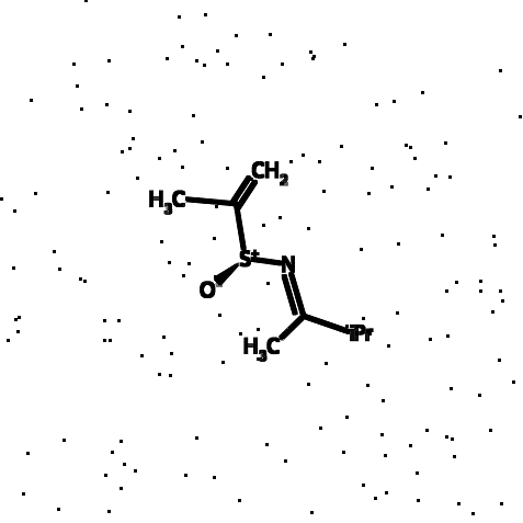 C=C(C)[S@+]([O-])/N=C(\C)C(C)C